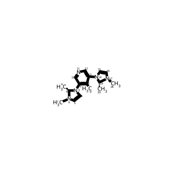 Cc1c(N2C=CN(C)[C@H]2C)cncc1N1C=CN(C)[C@@H]1C